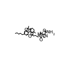 C=C(C)[C@@H]1CCC(C)=C[C@H]1c1c(O)cc(CCCCC)cc1OC(=O)CCCn1nnc2c(C(N)=O)ncn2c1=O